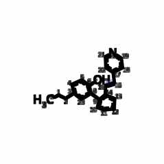 CCCc1ccc(O)c(-c2ccccc2/C=C/c2ccncc2)c1